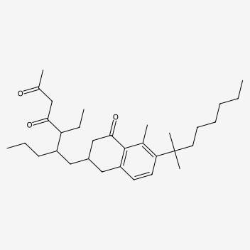 CCCCCCC(C)(C)c1ccc2c(c1C)C(=O)CC(CC(CCC)C(CC)C(=O)CC(C)=O)C2